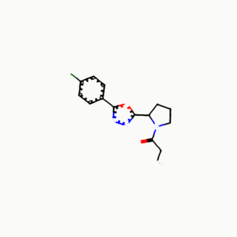 COCC(=O)N1CCCC1c1nnc(-c2ccc(Cl)cc2)o1